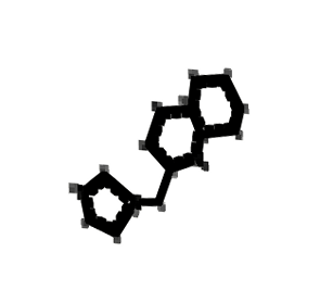 c1ccc2nc(Cn3ccnc3)ccc2c1